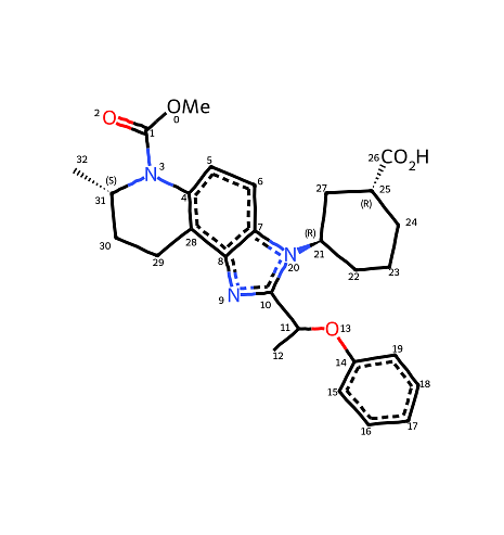 COC(=O)N1c2ccc3c(nc(C(C)Oc4ccccc4)n3[C@@H]3CCC[C@@H](C(=O)O)C3)c2CC[C@@H]1C